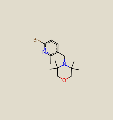 Cc1nc(Br)ccc1CN1C(C)(C)COCC1(C)C